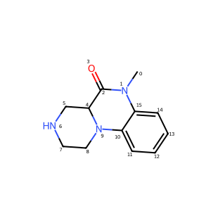 CN1C(=O)C2CNCCN2c2ccccc21